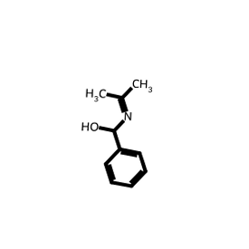 CC(C)=NC(O)c1ccccc1